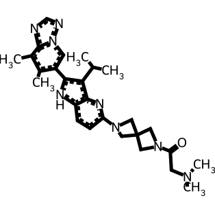 Cc1c(-c2[nH]c3ccc(N4CC5(CN(C(=O)CN(C)C)C5)C4)nc3c2C(C)C)cn2ncnc2c1C